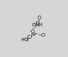 O=C(CCc1ccc2c(c1)c(CCc1ccccc1)cn2-c1ccc(O)cc1)NOCc1ccccc1